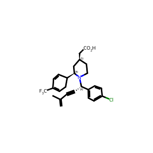 C=C(C)C#C[C@@H](c1ccc(Cl)cc1)N1CC[C@H](CC(=O)O)C[C@@H]1C1C=CC(C(F)(F)F)=CC1